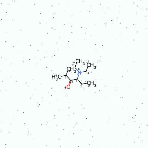 CC[C@@H](C(=O)C(C)C)N(CC)CC